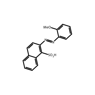 COc1ccccc1N=Nc1ccc2ccccc2c1S(=O)(=O)O